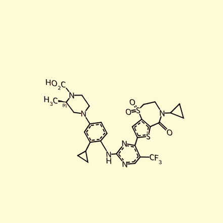 C[C@@H]1CN(c2ccc(Nc3ncc(C(F)(F)F)c(-c4cc5c(s4)C(=O)N(C4CC4)CCS5(=O)=O)n3)c(C3CC3)c2)CCN1C(=O)O